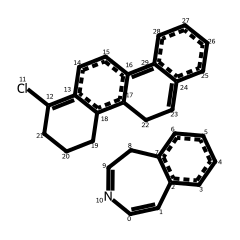 C1=Cc2ccccc2CC=N1.ClC1=c2ccc3c(c2CCC1)CC=c1ccccc1=3